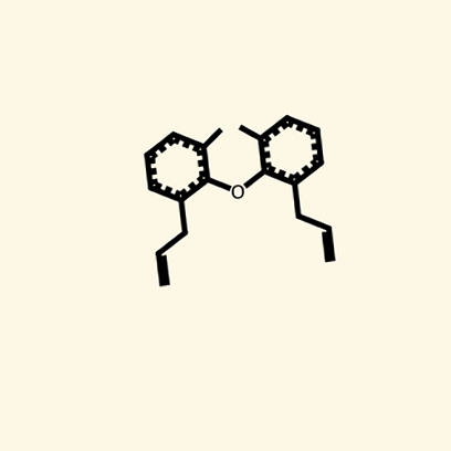 C=CCc1cccc(C)c1Oc1c(C)cccc1CC=C